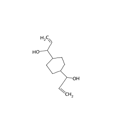 C=CC(O)C1CCC(C(O)C=C)CC1